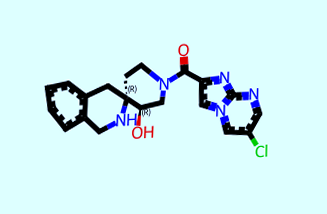 O=C(c1cn2cc(Cl)cnc2n1)N1CC[C@]2(Cc3ccccc3CN2)[C@H](O)C1